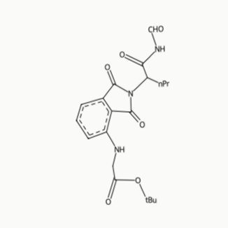 CCCC(C(=O)NC=O)N1C(=O)c2cccc(NCC(=O)OC(C)(C)C)c2C1=O